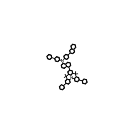 CC1(C)c2cc(-c3ccccc3)ccc2N2c3ccc(-c4ccccc4)cc3C(C)(C)c3cc(-c4cccc5c(N(c6ccc(-c7ccccc7)cc6)c6ccc(-c7ccc8ccccc8c7)cc6)cccc45)cc1c32